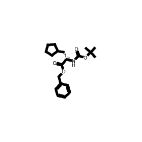 CC(C)(C)OC(=O)N[C@@H](CC1CCCC1)C(=O)OCc1ccccc1